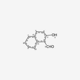 O=Cc1c(O)[c]cc2ccccc12